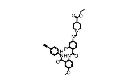 C#Cc1ccc(NC(=O)c2cc(OC)ccc2NC(=O)c2ccc(N=CN3CCC(C(=O)OCC)CC3)cc2F)cc1